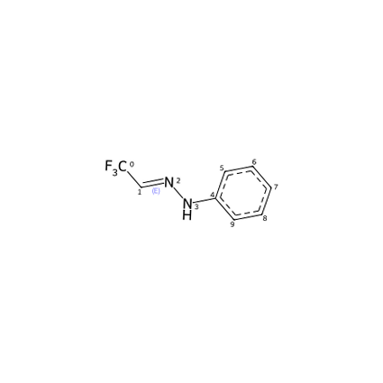 FC(F)(F)/C=N/Nc1ccccc1